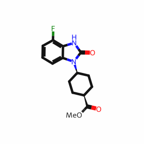 COC(=O)[C@H]1CC[C@@H](n2c(=O)[nH]c3c(F)cccc32)CC1